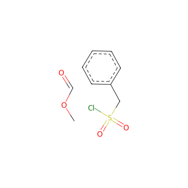 COC=O.O=S(=O)(Cl)Cc1ccccc1